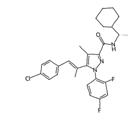 CC(=Cc1ccc(Cl)cc1)c1c(C)c(C(=O)N[C@@H](C)C2CCCCC2)nn1-c1ccc(F)cc1F